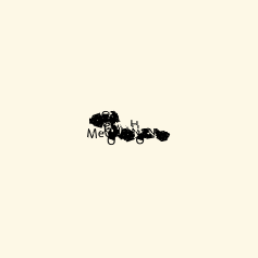 COC(=O)[C@H](Cc1ccc(NC(=O)C2CCN(Cc3ccccc3)CC2)cc1)NC(=O)[C@@H]1CCCN1S(=O)(=O)c1ccc(C)cc1